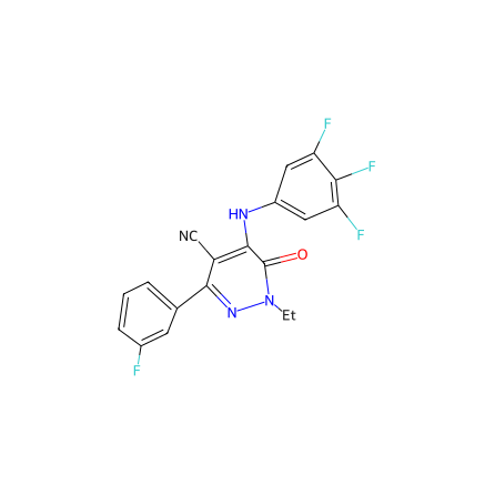 CCn1nc(-c2cccc(F)c2)c(C#N)c(Nc2cc(F)c(F)c(F)c2)c1=O